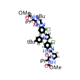 CCCCN(Cc1nc2c(Cl)c([C@H]3CC[C@@H](c4ccc5[nH]c([C@@H]6CCCN6C(=O)C(NC(=O)OC)C(C)C)nc5c4Cl)N3c3ccc(C(C)(C)C)cc3)ccc2[nH]1)C(=O)[C@@H](NC(=O)OC)C(C)C